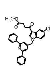 COC(=O)CCC(=O)c1cn(Cc2cc(-c3ccccc3)nc(-c3ccccc3)c2)c2ccc(Cl)cc12